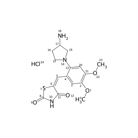 COc1cc(/C=C2/SC(=O)NC2=O)c(N2CCC(N)C2)cc1OC.Cl